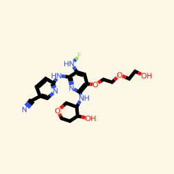 N#Cc1ccc(Nc2nc(NC3COCCC3O)c(OCCOCCO)cc2NF)nc1